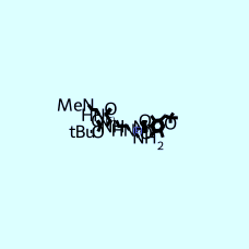 CNCCNC(=O)[C@H](CCCN/C(N)=N/S(=O)(=O)c1c(C)c(C)c2c(c1C)CC(C)(C)O2)NC(=O)OC(C)(C)C